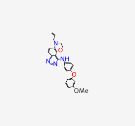 C=CCN1CCOc2c1ccc1ncnc(Nc3ccc(Oc4cccc(OC)c4)cc3)c21